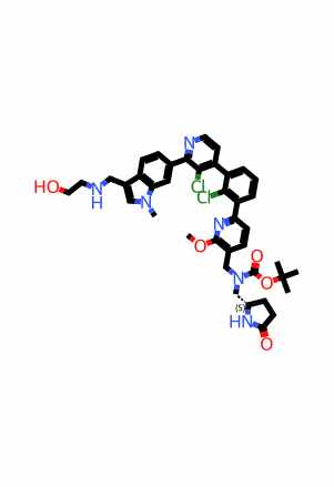 COc1nc(-c2cccc(-c3ccnc(-c4ccc5c(CNCCO)cn(C)c5c4)c3Cl)c2Cl)ccc1CN(C[C@@H]1CCC(=O)N1)C(=O)OC(C)(C)C